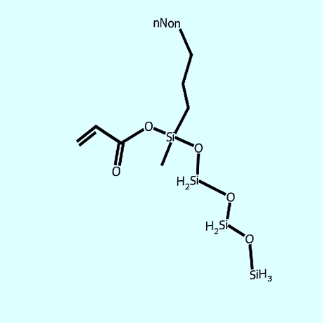 C=CC(=O)O[Si](C)(CCCCCCCCCCCC)O[SiH2]O[SiH2]O[SiH3]